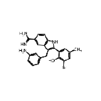 Cc1cc(Br)c(O)c(-c2[nH]c3ccc(C(=N)N)cc3c2Cc2cccc(N)c2)c1